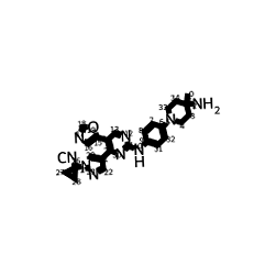 CC1(N)CCN(c2ccc(Nc3ncc(-c4cnco4)c(-c4cnn(C5(C#N)CC5)c4)n3)cc2)CC1